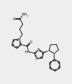 NC(=O)CCCn1cccc1C(=O)Nc1nc([C@H]2CCCN2c2ccccc2)cs1